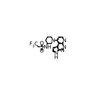 O=S(=O)(CC(F)(F)F)NC1CCCN(c2ccnc3nnc4[nH]ccc4c23)C1